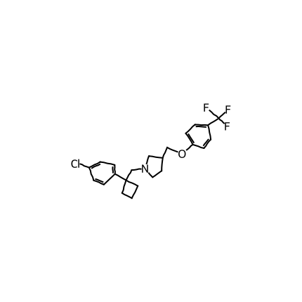 FC(F)(F)c1ccc(OCC2CCN(CC3(c4ccc(Cl)cc4)CCC3)C2)cc1